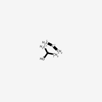 C=C=C.CC(C)O